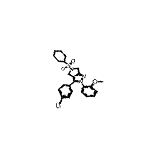 COc1ccccc1-n1nc2c(c1-c1ccc(Cl)cc1)CN(S(=O)(=O)C1CCCCC1)C2